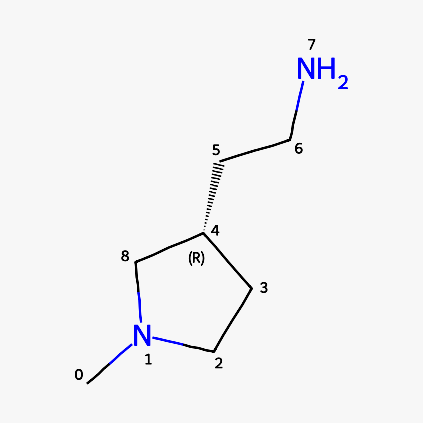 CN1CC[C@@H](CCN)C1